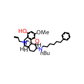 C=CCN1CC[C@]23c4c5c(O)cc(OC)c4O[C@H]2[C@H](N(CCCC)CCCCCCc2ccccc2)CC[C@H]3[C@H]1C5